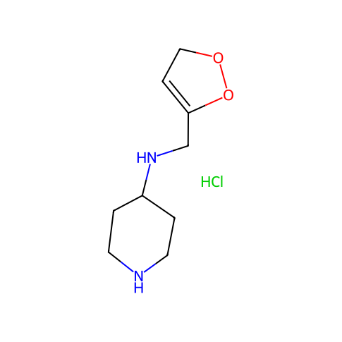 C1=C(CNC2CCNCC2)OOC1.Cl